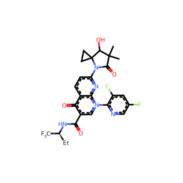 CC[C@H](NC(=O)c1cn(-c2ncc(F)cc2F)c2nc(N3C(=O)C(C)(C)C(O)C34CC4)ccc2c1=O)C(F)(F)F